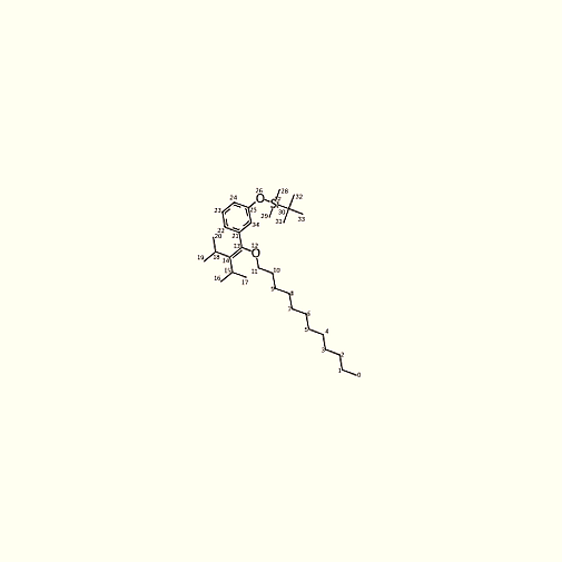 CCCCCCCCCCCCOC(=C(C(C)C)C(C)C)c1cccc(O[Si](C)(C)C(C)(C)C)c1